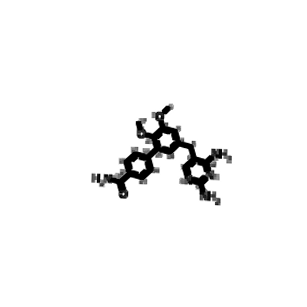 COc1cc(Cc2cnc(N)nc2N)cc(-c2ccc(C(N)=O)cc2)c1OC